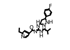 CCc1cc(C(=O)/N=C(/NCC(C)C)NC2CC(c3ccc(F)cc3)NN2)ccn1